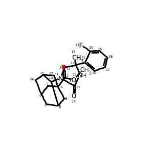 COC(=O)C12CC3CC(C1)C(N1CC(C)(c4ccccc4F)NC1=O)C(C3)C2